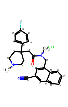 CN1CCC(CC(=O)N(C)Cc2cc(C#N)cc3ccccc23)(c2ccc(F)cc2)CC1.Cl